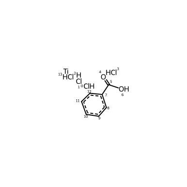 Cl.Cl.Cl.Cl.O=C(O)c1ccccc1.[Ti]